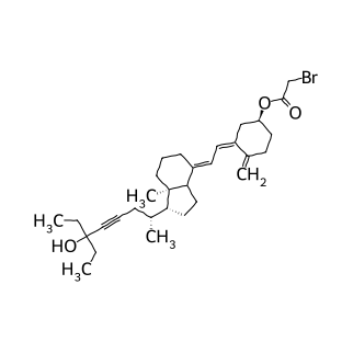 C=C1CC[C@H](OC(=O)CBr)C/C1=C/C=C1\CCC[C@@]2(C)C1CC[C@@H]2[C@H](C)CC#CC(O)(CC)CC